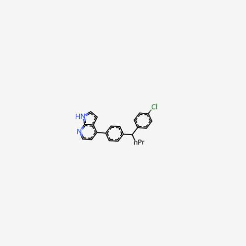 CCCC(c1ccc(Cl)cc1)c1ccc(-c2ccnc3[nH]ccc23)cc1